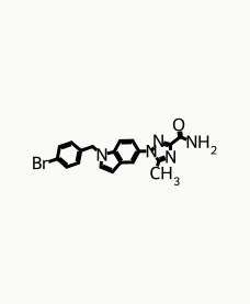 Cc1nc(C(N)=O)nn1-c1ccc2c(ccn2Cc2ccc(Br)cc2)c1